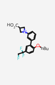 CCCCOc1ccc(C(F)(F)CF)cc1-c1cccc(N2CC(C(=O)O)C2)c1